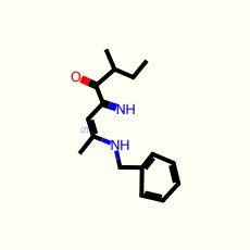 CCC(C)C(=O)C(=N)/C=C(/C)NCc1ccccc1